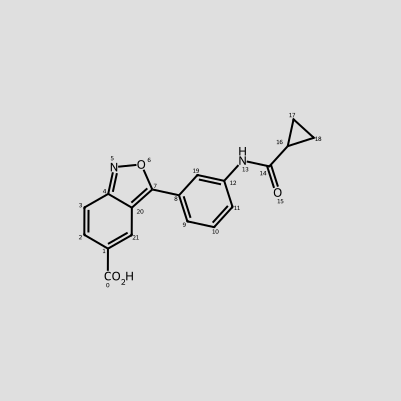 O=C(O)c1ccc2noc(-c3cccc(NC(=O)C4CC4)c3)c2c1